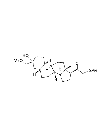 COC[C@@]1(O)CC[C@H]2[C@H](CC[C@@H]3[C@@H]2CC[C@]2(C)[C@@H](C(=O)CSC)CC[C@@H]32)C1